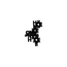 CC(O)NC(=N)c1cc2cc(F)ccc2nc1N1CCC(NC2CCCCC2)CC1